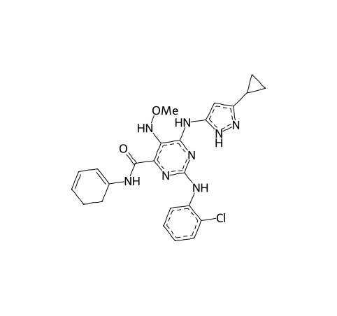 CONc1c(Nc2cc(C3CC3)n[nH]2)nc(Nc2ccccc2Cl)nc1C(=O)NC1=CC=CCC1